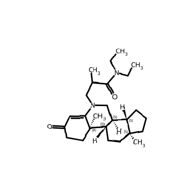 CCN(CC)C(=O)C(C)CN1C[C@H]2[C@@H]3CCC[C@@]3(C)CC[C@@H]2[C@@]2(C)CCC(=O)C=C12